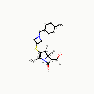 CNC1CCC(CN2CC(SC3=C(C(=O)O)N4C(=O)[C@H]([C@@H](C)O)[C@H]4[C@H]3C)C2)CC1